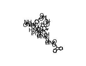 [CH2][C@]1(C)C=C2C(=O)[C@](C)(O)C3(CC3)C(C)=C2[C@@H]1OC(=O)N(C)CCN(C)C(=O)OCc1ccc(NC(=O)[C@H](CCCNC(N)=O)NC(=O)[C@@H](NC(=O)CNC(=O)CNC(=O)CNC(=O)OCC2c3ccccc3-c3ccccc32)C(C)C)cc1